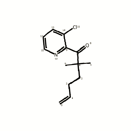 C=CCCC(C)(C)C(=O)c1ncccc1Cl